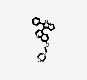 c1ccc(-c2nn3c(c2-c2ccnc4cc(OCCN5CCOCC5)ccc24)CCC3)cc1